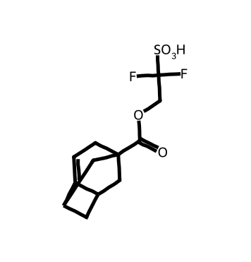 O=C(OCC(F)(F)S(=O)(=O)O)C12CC=C3C(CC3C1)C2